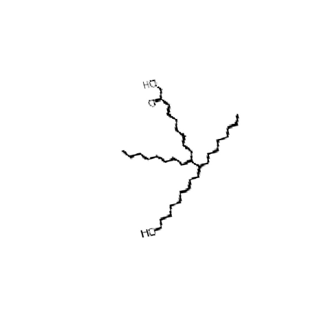 CCCCCCCCC(CCCCCCCCCO)C(CCCCCCCC)CCCCCCCC(=O)CO